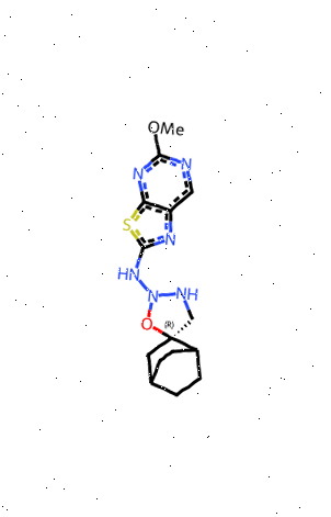 COc1ncc2nc(NN3NC[C@]4(CC5CCC4CC5)O3)sc2n1